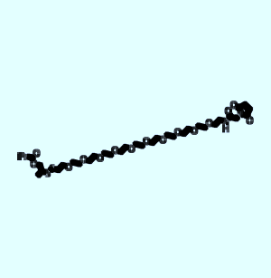 CC(COC(=O)C(C)C)SSCCOCCOCCOCCOCCOCCOCCOCCOCCOCCOCCNC(=O)CN1C(=O)C=CC1=O